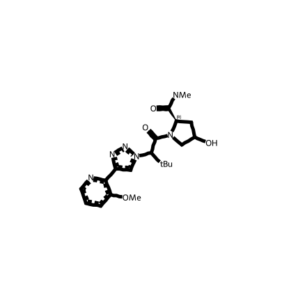 CNC(=O)[C@H]1CC(O)CN1C(=O)C(n1cc(-c2ncccc2OC)nn1)C(C)(C)C